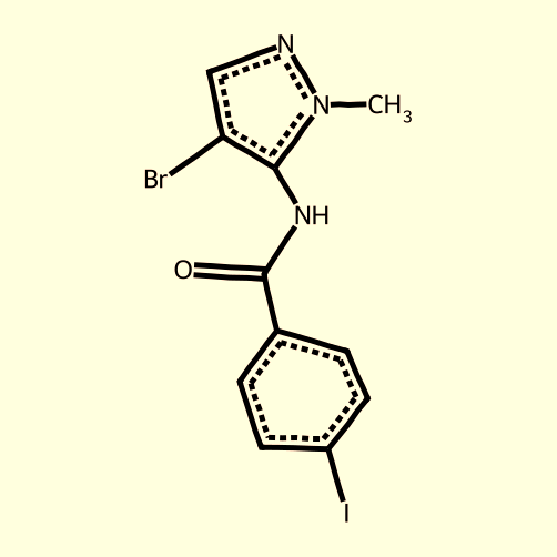 Cn1ncc(Br)c1NC(=O)c1ccc(I)cc1